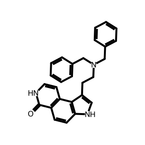 O=c1[nH]ccc2c1ccc1[nH]cc(CCN(Cc3ccccc3)Cc3ccccc3)c12